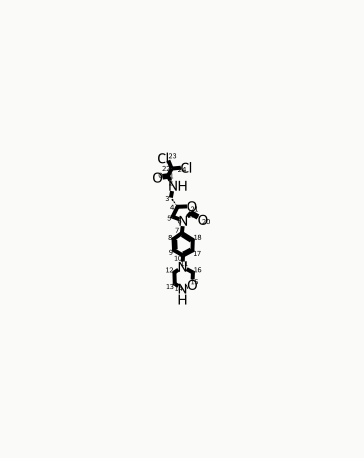 O=C(NC[C@H]1CN(c2ccc(N3CCNOC3)cc2)C(=O)O1)C(Cl)Cl